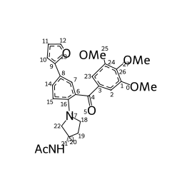 COc1cc(C(=O)c2cc(-c3ccco3)ccc2N2CC[C@H](NC(C)=O)C2)cc(OC)c1OC